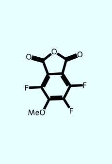 COc1c(F)c(F)c2c(c1F)C(=O)OC2=O